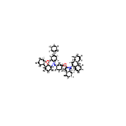 c1ccc(-c2ccc(N(c3ccc4c(c3)oc3c4c4ccccc4n3-c3cc4ccccc4c4ccccc34)c3cccc4c3oc3ccccc34)cc2)cc1